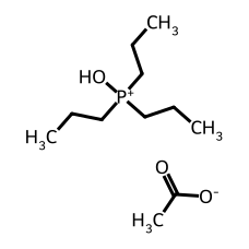 CC(=O)[O-].CCC[P+](O)(CCC)CCC